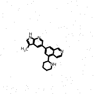 Cc1c[nH]c2ncc(-c3cc(C4CCCCN4)c4ccncc4c3)cc12